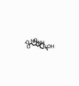 COC(=O)C(N)CC1CC2(CCN(C(C)O)CC2)NC1=O